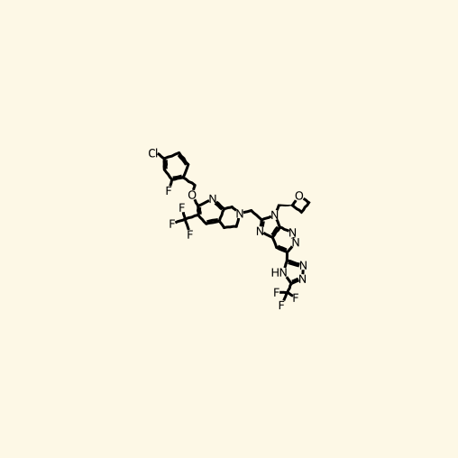 Fc1cc(Cl)ccc1COc1nc2c(cc1C(F)(F)F)CCN(Cc1nc3cc(-c4nnc(C(F)(F)F)[nH]4)nnc3n1C[C@@H]1CCO1)C2